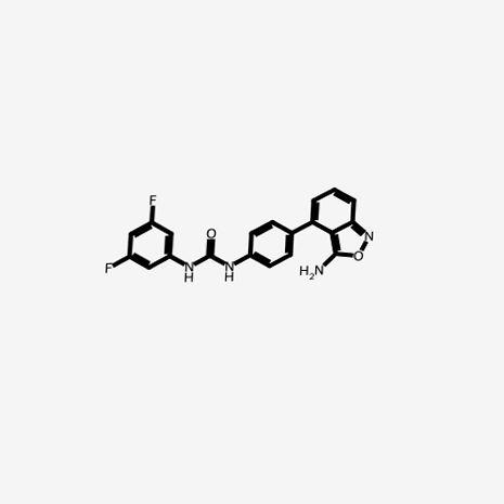 Nc1onc2cccc(-c3ccc(NC(=O)Nc4cc(F)cc(F)c4)cc3)c12